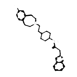 CC(=O)c1ccc2c(c1)CCN(CCC1CCC(NC(=O)Cc3cc4ccccc4s3)CC1)CC2